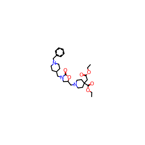 CCOC(=O)CC1(C(=O)OCC)CCN(CC2CN(CC3CCN(Cc4ccccc4)CC3)C(=O)O2)CC1